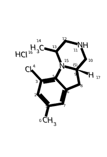 Cc1cc(Cl)c2c(c1)C[C@H]1CNCC(C)N21.Cl